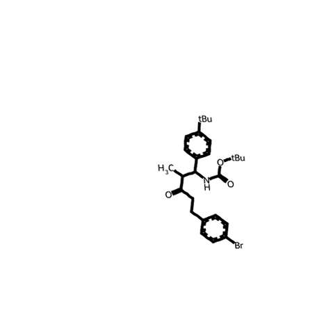 CC(C(=O)CCc1ccc(Br)cc1)C(NC(=O)OC(C)(C)C)c1ccc(C(C)(C)C)cc1